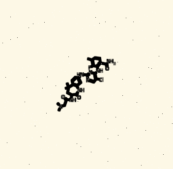 Cc1ccc(C(N)=O)c(Nc2nc(Nc3ccc4c(c3)NC(=O)C(NC(=O)CN(C)C)CC4(C)C)ncc2Cl)c1F